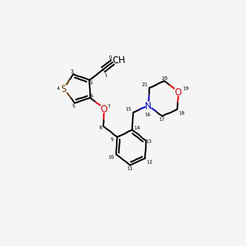 C#Cc1cscc1OCc1ccccc1CN1CCOCC1